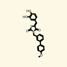 COc1ccc(-c2cccc(CN3C(=O)S/C(=C\c4ccc(O)c(O)c4)C3=O)c2)cc1